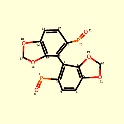 O=Pc1ccc2c(c1-c1c(P=O)ccc3c1OCO3)OCO2